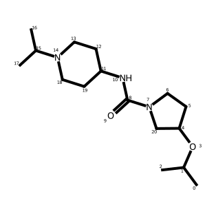 CC(C)OC1CCN(C(=O)NC2CCN(C(C)C)CC2)C1